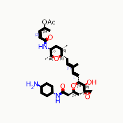 CC(=O)O[C@@H](C)/C=C\C(=O)N[C@@H]1C[C@H](C)[C@H](C/C=C(C)/C=C/[C@H]2O[C@H](CC(=O)N[C@H]3CC[C@H](N)CC3)C[C@@]3(CO3)[C@@H]2O)O[C@@H]1C